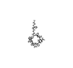 C/C=C1\NC(=O)c2ccc(SC)c(n2)CNC(=O)C[C@@H](/C=C/CCSC(=O)CCCC)OC(=O)[C@H](C(C)C)NC1=O